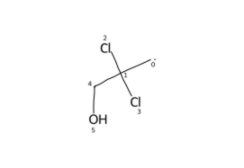 [CH2]C(Cl)(Cl)CO